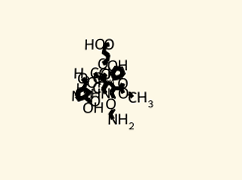 CCOC(=O)C1=C(COCCN)NC(C)=C(C(=O)OC)[C@@H]1c1ccccc1Cl.O=C(O)C=CC(=O)O.O=C(O)c1cncc(C(=O)O)c1